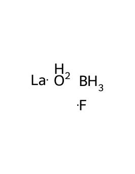 B.O.[F].[La]